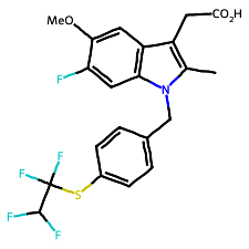 COc1cc2c(CC(=O)O)c(C)n(Cc3ccc(SC(F)(F)C(F)F)cc3)c2cc1F